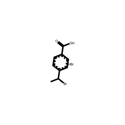 Br.CC(Br)c1ccc(C(=O)O)cc1